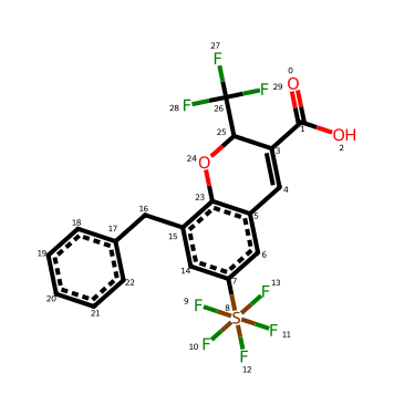 O=C(O)C1=Cc2cc(S(F)(F)(F)(F)F)cc(Cc3ccccc3)c2OC1C(F)(F)F